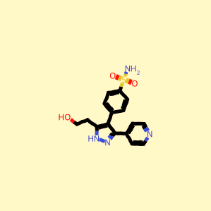 NS(=O)(=O)c1ccc(-c2c(-c3ccncc3)n[nH]c2CCO)cc1